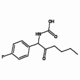 CCCCC(=O)C(NC(=O)O)c1ccc(F)cc1